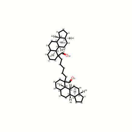 O=CC1(CCCCCC2(C=O)CCCC3CC[C@H]4[C@@H]5CCC[C@H]5CC[C@H]4[C@H]32)CCCC2CC[C@H]3[C@@H]4CCC[C@H]4CC[C@H]3[C@H]21